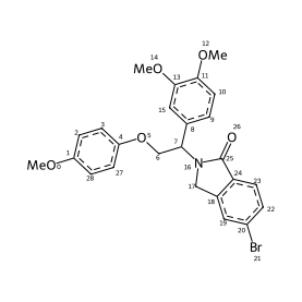 COc1ccc(OCC(c2ccc(OC)c(OC)c2)N2Cc3cc(Br)ccc3C2=O)cc1